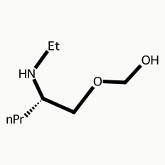 CCC[C@@H](COCO)NCC